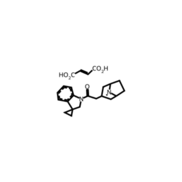 CN1C2CCC1CC(CC(=O)N1CC3(CC3)c3ccccc31)C2.O=C(O)C=CC(=O)O